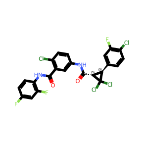 O=C(Nc1ccc(F)cc1F)c1cc(NC(=O)[C@@H]2[C@@H](c3ccc(Cl)c(F)c3)C2(Cl)Cl)ccc1Cl